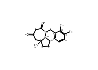 O=C1CC(=O)N(Cc2cccc(F)c2F)N2CCC[C@]2(S)C1